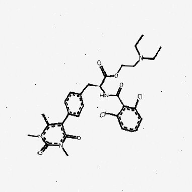 CCN(CC)CCOC(=O)[C@H](Cc1ccc(-c2c(C)n(C)c(=O)n(C)c2=O)cc1)NC(=O)c1c(Cl)cccc1Cl